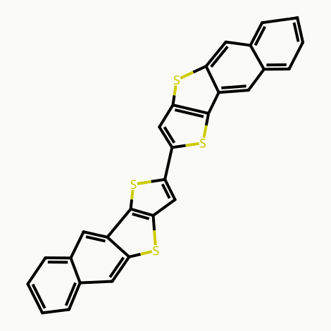 c1ccc2cc3c(cc2c1)sc1cc(-c2cc4sc5cc6ccccc6cc5c4s2)sc13